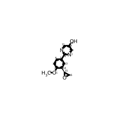 COc1ccc(-c2ncc(O)cn2)cc1[C@H]1CO1